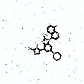 Cc1nc2c(-c3cnc(Cl)[nH]3)cc(N3CCOCC3)cc2n1-c1ccnc2c(F)cccc12